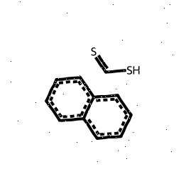 S=CS.c1ccc2ccccc2c1